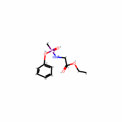 CCOC(=O)CNP(C)(=O)Oc1ccccc1